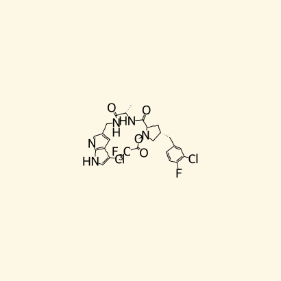 C[C@H](NC(=O)C1C[C@H](Cc2ccc(F)c(Cl)c2)CN1OC(=O)C(F)(F)F)C(=O)NCc1cnc2[nH]cc(Cl)c2c1